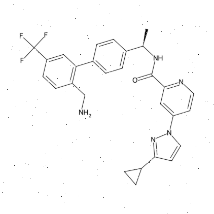 C[C@@H](NC(=O)c1cc(-n2ccc(C3CC3)n2)ccn1)c1ccc(-c2cc(C(F)(F)F)ccc2CN)cc1